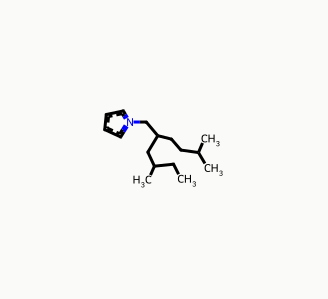 CCC(C)C[C](CCC(C)C)Cn1cccc1